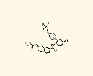 NC(=O)CN1CCc2ccc(C(=O)Nc3ccc(Cl)cc3N3CCN(CCC(F)(F)F)CC3)cc2C1